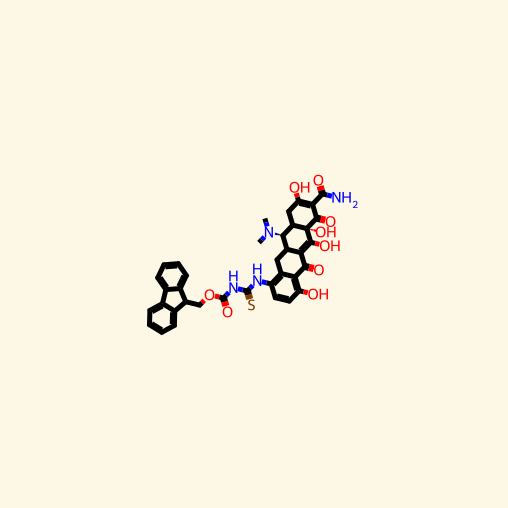 CN(C)[C@H]1C2Cc3c(NC(=S)NC(=O)OCC4c5ccccc5-c5ccccc54)ccc(O)c3C(=O)C2=C(O)[C@]2(O)C(=O)C(C(N)=O)=C(O)CC12